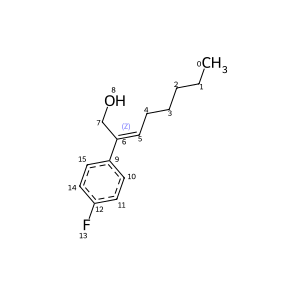 CCCCC/C=C(\CO)c1ccc(F)cc1